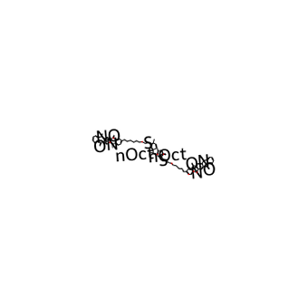 CCCCCCCCC1(CCCCCCCC)c2cc(SCCCCCCCCc3ccc4c(c3)c(=O)c3cc5c(cc3n4C)c(=O)c3ccccc3n5C)c(C)cc2-c2cc(C)c(SCCCCCCCCc3ccc4c(c3)c(=O)c3cc5c(cc3n4C)c(=O)c3ccccc3n5C)cc21